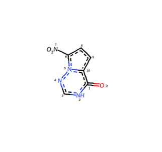 O=c1[nH]cnn2c([N+](=O)[O-])ccc12